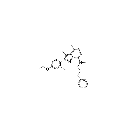 CCOc1ccc(-n2nc3c(N(C)CCCc4ccccc4)nnc(C)c3c2C)c(F)c1